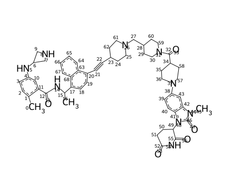 Cc1ccc(NC2CNC2)cc1C(=O)NC(C)c1ccc(C#CC2CCN(CC3CCN(C(=O)C4CCN(c5ccc6c(c5)n(C)c(=O)n6C5CCC(=O)NC5=O)CC4)CC3)CC2)c2ccccc12